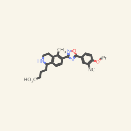 [C-]#[N+]c1cc(-c2nc(-c3ccc4c(c3C)CCNC4CCCC(=O)O)no2)ccc1OC(C)C